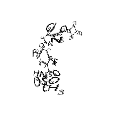 CS(=O)(=O)NC(=O)c1cc(F)c(Oc2cnc(OC3CCC3)c(Cl)c2)cc1F